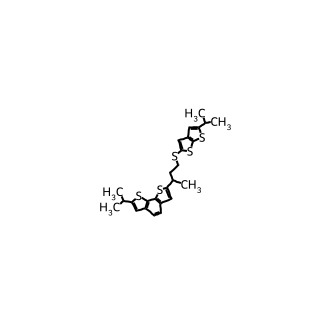 CC(C)c1cc2cc(SCCC(C)c3cc4ccc5cc(C(C)C)sc5c4s3)sc2s1